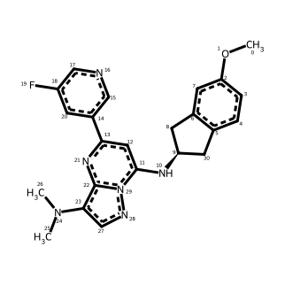 COc1ccc2c(c1)C[C@H](Nc1cc(-c3cncc(F)c3)nc3c(N(C)C)cnn13)C2